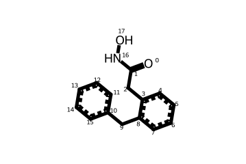 O=C(Cc1ccccc1Cc1ccccc1)NO